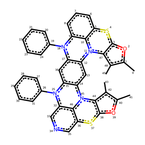 Cc1oc2sc3cccc4c3n(c3cc5c(cc3n4-c3ccccc3)n(-c3ccccc3)c3cncc4sc6oc(C)c(C)c6n5c43)c2c1C